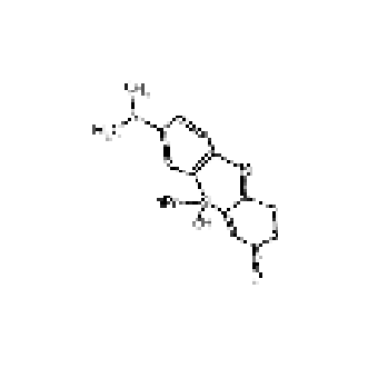 CCC[Si]1(C)C2=CC(=O)C=CC2=Nc2ccc(N(C)C)cc21